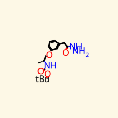 C[C@@H](COc1cccc(CC(=O)NN)c1)NC(=O)OC(C)(C)C